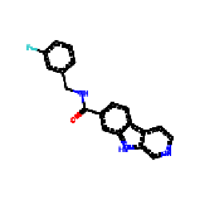 O=C(NCc1cccc(F)c1)c1ccc2c(c1)[nH]c1cnccc12